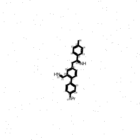 CCCc1ccc(-c2ccc(CC(=N)c3ccc(C)cc3)cc2C=N)cc1